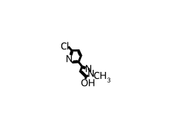 Cn1nc(-c2ccc(Cl)nc2)cc1O